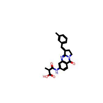 Cc1cccc(/C=C2\CCn3c2nc2cc(NC(=O)C(C)C(=O)O)ccc2c3=O)c1